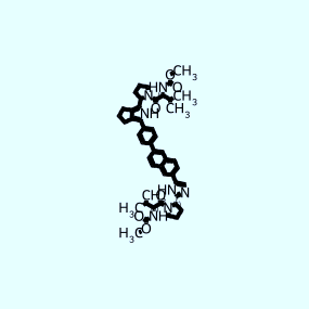 COC(=O)N[C@H](C(=O)N1CCCC1c1[nH]c(-c2ccc(-c3ccc4cc(-c5cnc([C@@H]6CCCN6C(=O)[C@@H](NC(=O)OC)C(C)C)[nH]5)ccc4c3)cc2)c2c1CCC2)C(C)C